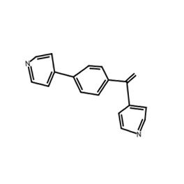 C=C(c1ccncc1)c1ccc(-c2ccncc2)cc1